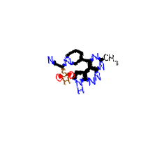 Cc1nc(C2CCCN(C(C#N)[SH](=O)=O)C2)c2c(nnc3[nH]ccc32)n1